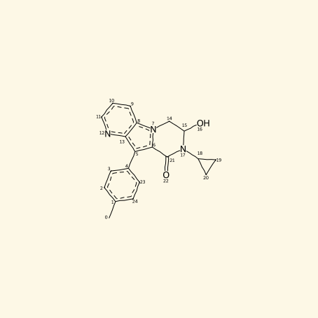 Cc1ccc(-c2c3n(c4cccnc24)CC(O)N(C2CC2)C3=O)cc1